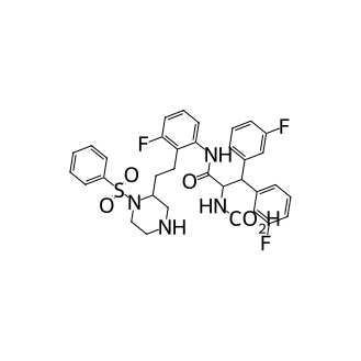 O=C(O)NC(C(=O)Nc1cccc(F)c1CCC1CNCCN1S(=O)(=O)c1ccccc1)C(c1cccc(F)c1)c1cccc(F)c1